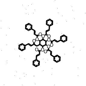 O=C(/C=C/c1ccccc1)CC1C(OC(=O)/C=C/c2ccccc2)C(OC(=O)/C=C/c2ccccc2)C(OC(=O)/C=C/c2ccccc2)C(OC(=O)/C=C/c2ccccc2)C1OC(=O)/C=C/c1ccccc1